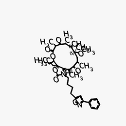 CCC1OC(=O)C(C)C(=O)C(C)[C@@H](C)[C@@](C)(OC)CC(C)C(=O)[C@H](C)[C@H]2N(CCCCc3cc(-c4ccccc4)no3)C(=O)O[C@]12CC